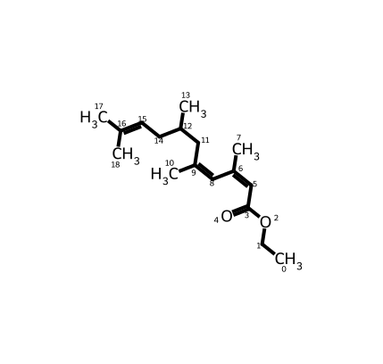 CCOC(=O)C=C(C)C=C(C)CC(C)CC=C(C)C